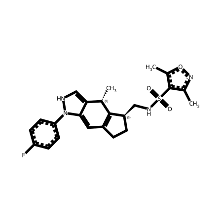 Cc1noc(C)c1S(=O)(=O)NC[C@H]1CCC2=C1[C@@H](C)C1=CNN(c3ccc(F)cc3)C1=C2